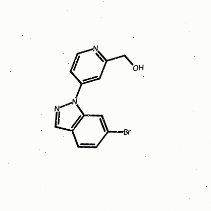 OCc1cc(-n2ncc3ccc(Br)cc32)ccn1